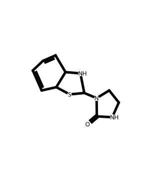 O=C1NCCN1C1NC2C=CC=CC2S1